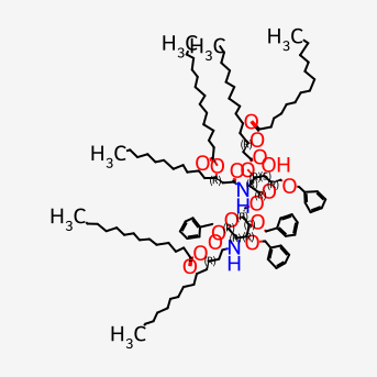 CCCCCCCCCCCCCC(=O)O[C@H](CCCCCCCCCCC)CC(=O)N[C@H]1[C@H](OCc2ccccc2)O[C@H](CO[C@@H]2O[C@H](COCc3ccccc3)[C@@H](O)[C@H](OC(=O)C[C@@H](CCCCCCCCCCC)OC(=O)CCCCCCCCCCCCC)[C@H]2NC(=O)C[C@@H](CCCCCCCCCCC)OC(=O)CCCCCCCCCCCCC)[C@@H](OCc2ccccc2)[C@@H]1OCc1ccccc1